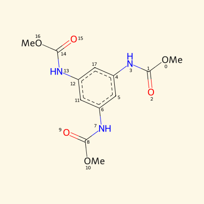 COC(=O)Nc1cc(NC(=O)OC)cc(NC(=O)OC)c1